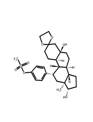 C[C@]12C[C@H](c3ccc(OS(=O)(=O)C(F)(F)F)cc3)[C@H]3[C@@H](CC[C@@]4(O)CC5(CC[C@H]34)OCCO5)[C@@H]1CC[C@@H]2O